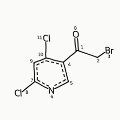 O=C(CBr)c1cnc(Cl)cc1Cl